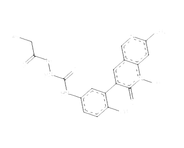 Cc1cc2c(cn1)cc(-c1cc(NC(=O)NNC(=O)CC(C)C)ccc1C)c(=O)n2C